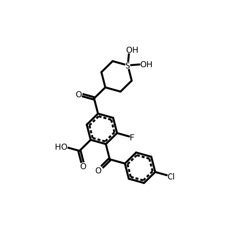 O=C(O)c1cc(C(=O)C2CCS(O)(O)CC2)cc(F)c1C(=O)c1ccc(Cl)cc1